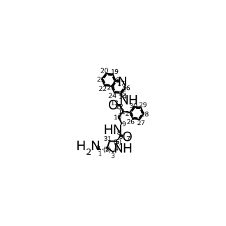 NC[C@H]1CN[C@H](C(=O)NCCC(C(=O)Nc2cnc3ccccc3c2)c2ccccc2)C1